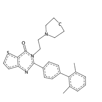 Cc1cccc(C)c1-c1ccc(-c2nc3ccsc3c(=O)n2CCN2CCCCC2)cc1